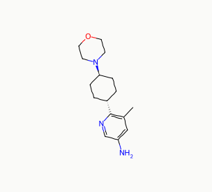 Cc1cc(N)cnc1[C@H]1CC[C@H](N2CCOCC2)CC1